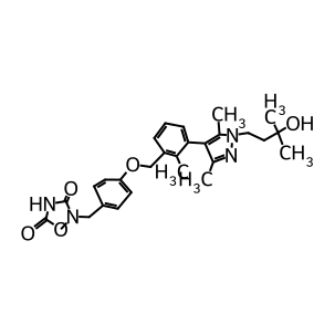 Cc1nn(CCC(C)(C)O)c(C)c1-c1cccc(COc2ccc(Cn3oc(=O)[nH]c3=O)cc2)c1C